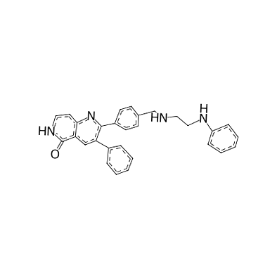 O=c1[nH]ccc2nc(-c3ccc(CNCCNc4ccccc4)cc3)c(-c3ccccc3)cc12